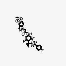 CCS(=O)(=O)c1ccc2c(cnn2CC(=O)Nc2cc(F)c(C3(c4noc(-c5ccc(F)cc5)n4)CC3)c(F)c2)c1